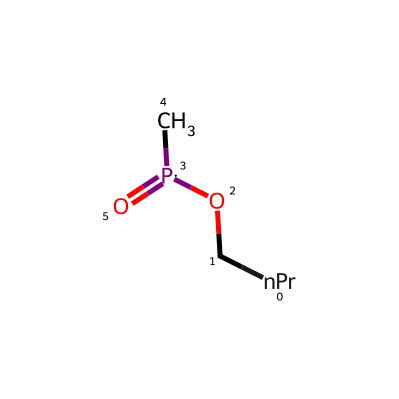 CCCCO[P](C)=O